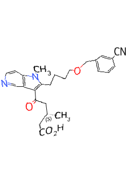 C[C@H](CC(=O)O)CC(=O)c1c(CCCCOCc2cccc(C#N)c2)n(C)c2ccncc12